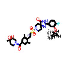 [2H]C([2H])([2H])C([2H])(Oc1cc(C2=NC3(CCN(S(=O)(=O)/C=C/c4c(C)cc(C(=O)N5CCC(C)(O)CC5)cc4C)CC3)C(=O)N2)ccc1F)C([2H])([2H])[2H]